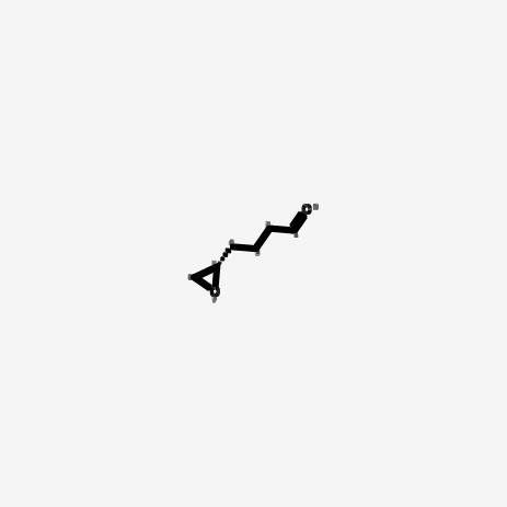 O=CCCC[C@H]1CO1